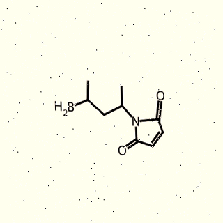 BC(C)CC(C)N1C(=O)C=CC1=O